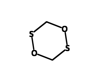 C1OSCOS1